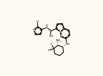 N[C@@H]1[C@H](Nc2ccc3ccc(C(O)Nc4ccsc4Cl)n3n2)CCCC1(F)F